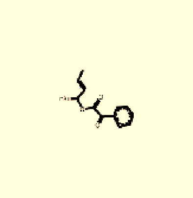 C/C=C/C(CCCC)OC(=O)C(=O)c1ccccc1